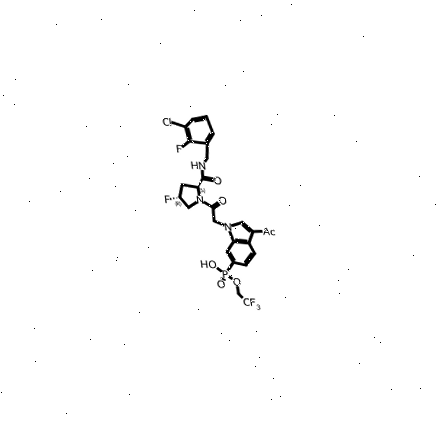 CC(=O)c1cn(CC(=O)N2C[C@H](F)C[C@H]2C(=O)NCc2cccc(Cl)c2F)c2cc(P(=O)(O)OCC(F)(F)F)ccc12